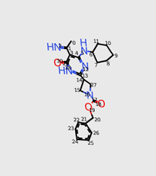 CC(=N)c1c(NC2CCCCC2)nc(C2CN(C(=O)OCc3ccccc3)C2)[nH]c1=O